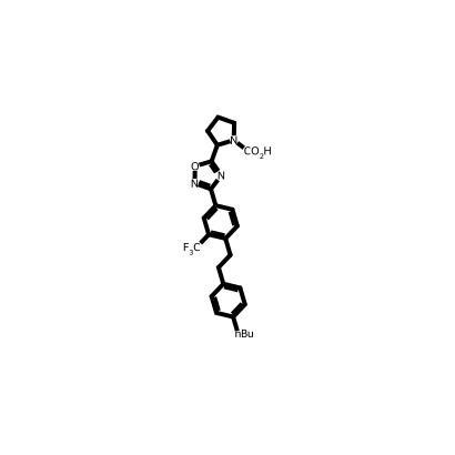 CCCCc1ccc(CCc2ccc(-c3noc(C4CCCN4C(=O)O)n3)cc2C(F)(F)F)cc1